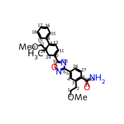 COCCc1cc(-c2noc(C3=CC=C(c4ccccc4)C(C)(COC)C3)n2)ccc1C(N)=O